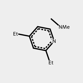 CCc1ccnc(CC)c1.CNC